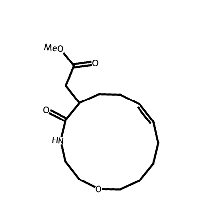 COC(=O)CC1CC/C=C\CCCCOCCNC1=O